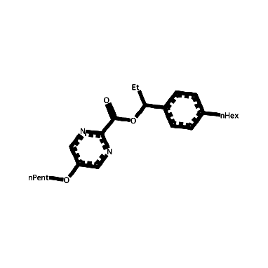 CCCCCCc1ccc(C(CC)OC(=O)c2ncc(OCCCCC)cn2)cc1